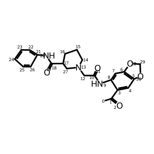 CC(=O)c1cc2c(cc1NC(=O)CN1CCCC(C(=O)Nc3ccccc3)C1)OCO2